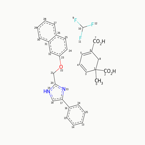 CC1(C(=O)O)C=CC=C(C(=O)O)C1.FC(F)F.c1ccc(-c2c[nH]c(COc3ccc4ccccc4c3)n2)cc1